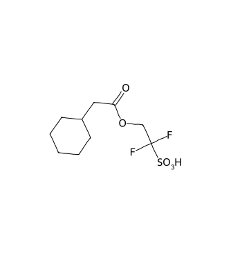 O=C(CC1CCCCC1)OCC(F)(F)S(=O)(=O)O